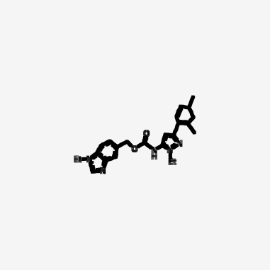 CCn1nc(C2=C(C)CC(C)C=C2)cc1NC(=O)OCc1ccc2c(c1)ncn2CC